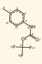 [CH2]c1ccc(NC(=O)OC(F)(F)F)cc1